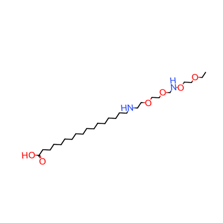 CCOCCONCOCCOCCNCCCCCCCCCCCCCCCCC(=O)O